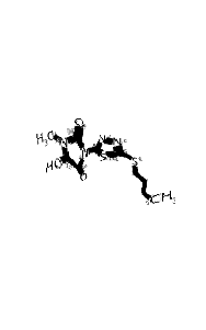 CCCCSc1nnc(N2C(=O)C(O)N(C)C2=O)s1